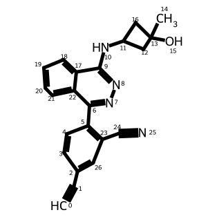 C#Cc1ccc(-c2nnc(NC3CC(C)(O)C3)c3ccccc23)c(C#N)c1